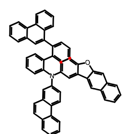 c1ccc(-c2cc3ccccc3c3ccccc23)c(-c2ccccc2N(c2ccc3c(ccc4ccccc43)c2)c2ccc3oc4cc5ccccc5cc4c3c2)c1